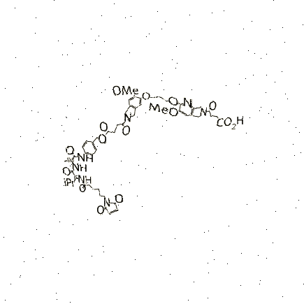 COc1cc2c(cc1OCCCOc1nc3c(cc1OC)CN(C(=O)CCC(=O)O)C3)CN(C(=O)CCC(=O)OCc1ccc(NC(=O)[C@H](C)NC(=O)[C@@H](NC(=O)CCCCCN3C(=O)C=CC3=O)C(C)C)cc1)C2